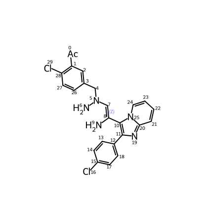 CC(=O)c1cc(CN(N)/C=C(\N)c2c(-c3ccc(Cl)cc3)nc3ccccn23)ccc1Cl